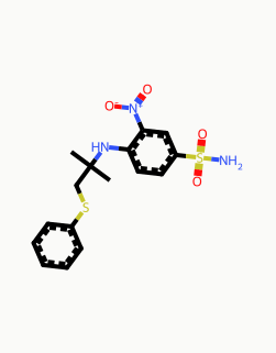 CC(C)(CSc1ccccc1)Nc1ccc(S(N)(=O)=O)cc1[N+](=O)[O-]